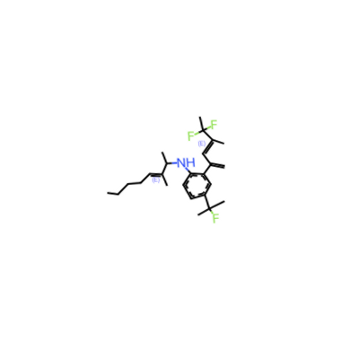 C=C(/C=C(\C)C(C)(F)F)c1cc(C(C)(C)F)ccc1NC(C)/C(C)=C/CCCC